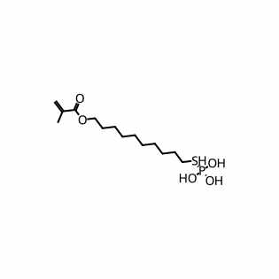 C=C(C)C(=O)OCCCCCCCCCC[SH]=P(O)(O)O